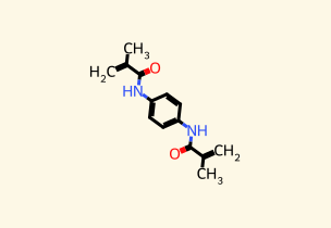 C=C(C)C(=O)Nc1ccc(NC(=O)C(=C)C)cc1